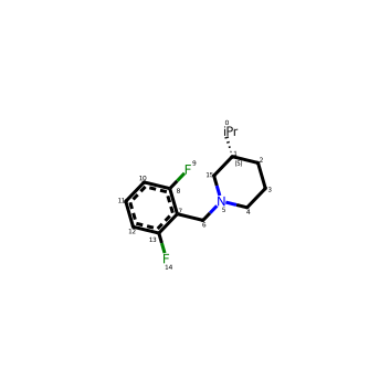 CC(C)[C@@H]1CCCN(Cc2c(F)cccc2F)C1